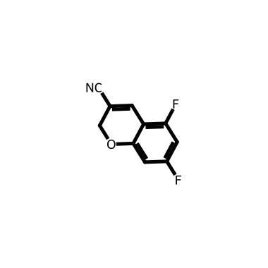 N#CC1=Cc2c(F)cc(F)cc2OC1